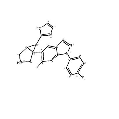 Cc1cc2c(cnn2-c2ccc(F)cc2)cc1C12CNCC1C2c1ncco1